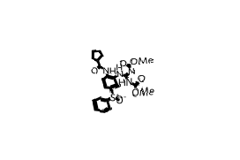 COC(=O)N=C(NC(=O)OC)Nc1cc([S+]([O-])c2ccccc2)ccc1NC(=O)C1CCCC1